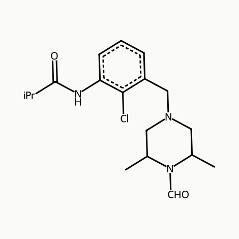 CC(C)C(=O)Nc1cccc(CN2CC(C)N(C=O)C(C)C2)c1Cl